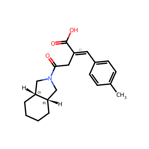 Cc1ccc(/C=C(\CC(=O)N2C[C@H]3CCCC[C@H]3C2)C(=O)O)cc1